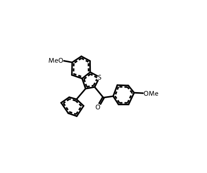 COc1ccc(C(=O)c2sc3ccc(OC)cc3c2-c2ccccc2)cc1